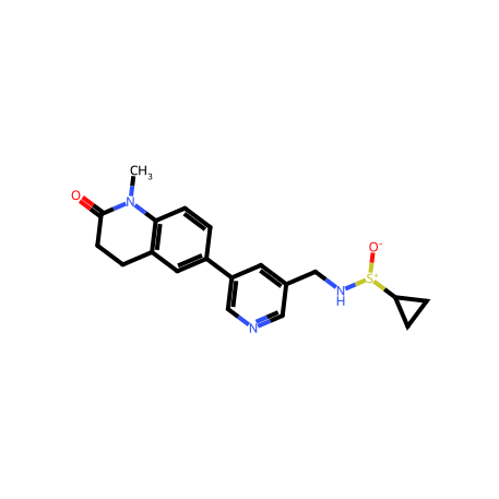 CN1C(=O)CCc2cc(-c3cncc(CN[S+]([O-])C4CC4)c3)ccc21